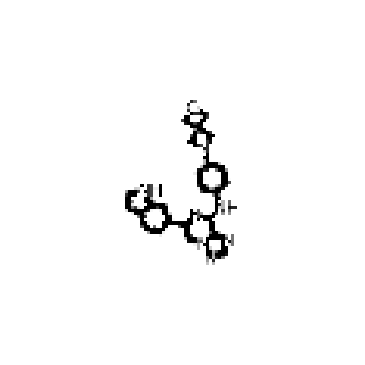 c1nc2c(Nc3ccc(N4CC5(COC5)C4)cc3)nc(-c3ccc4cc[nH]c4c3)cn2n1